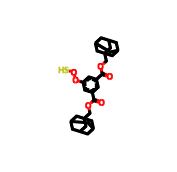 O=C(OCC12CC3CC(CC(C3)C1)C2)c1cc(OOS)cc(C(=O)OCC23CC4CC(CC(C4)C2)C3)c1